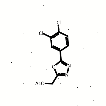 CC(=O)OCc1nnc(-c2ccc(Cl)c(Cl)c2)o1